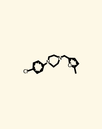 Cc1ccc(CN2CCN(c3ccc(Cl)cc3)CC2)o1